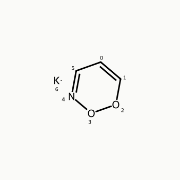 C1=COON=C1.[K]